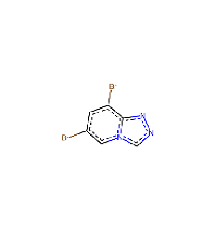 Brc1cc(Br)c2nncn2c1